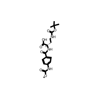 COC(=O)Nc1ccc(C(=O)N[C@@H](CCNC(=O)OC(C)(C)C)C(=O)O)cc1